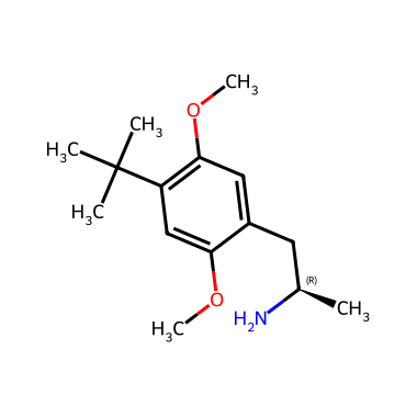 COc1cc(C(C)(C)C)c(OC)cc1C[C@@H](C)N